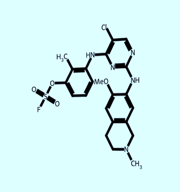 COc1cc2c(cc1Nc1ncc(Cl)c(Nc3cccc(OS(=O)(=O)F)c3C)n1)CN(C)CC2